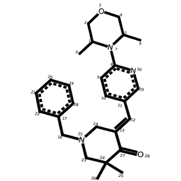 CC1COCC(C)N1c1ccc(C=C2CN(Cc3ccccc3)CC(C)(C)C2=O)cn1